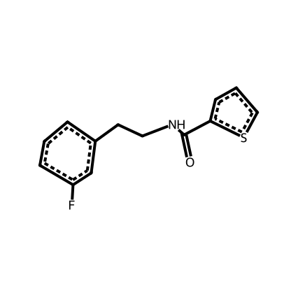 O=C(NCCc1cccc(F)c1)c1cccs1